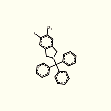 Fc1cc2c(cc1C(F)(F)F)CN(C(c1ccccc1)(c1ccccc1)c1ccccc1)C2